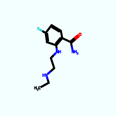 CCNCCNc1cc(F)ccc1C(N)=O